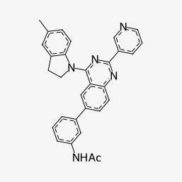 CC(=O)Nc1cccc(-c2ccc3nc(-c4cccnc4)nc(N4CCc5cc(C)ccc54)c3c2)c1